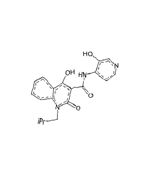 CC(C)Cn1c(=O)c(C(=O)Nc2ccncc2O)c(O)c2ccccc21